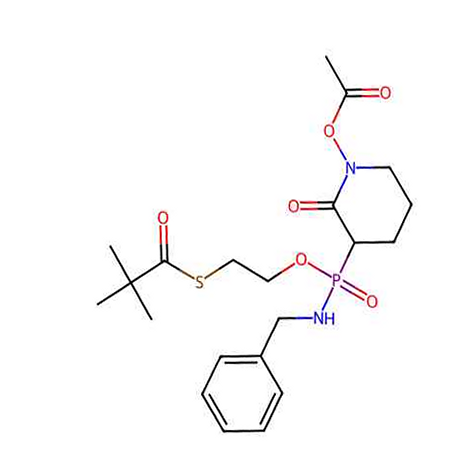 CC(=O)ON1CCCC(P(=O)(NCc2ccccc2)OCCSC(=O)C(C)(C)C)C1=O